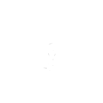 CCCCCC=C[C@H]1CCC(=O)[C@@H]1CC(=C=CCC(O)(O)C(=O)O)CC